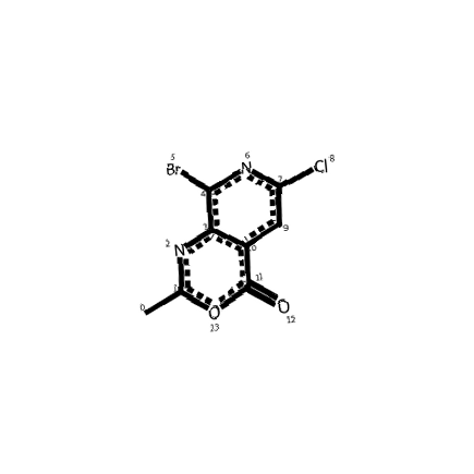 Cc1nc2c(Br)nc(Cl)cc2c(=O)o1